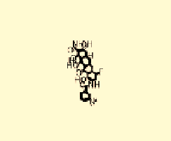 CN(C)c1cccc(C(=O)Nc2cc(F)c3c(c2O)C(=O)C2=C(O)[C@]4(O)C(=O)C(C(N)=O)=C(O)C[C@@H]4CC2C3)c1